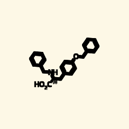 O=C(O)[C@H](Cc1ccc(OCc2ccccc2)cc1)NCc1ccccc1